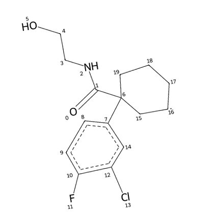 O=C(NCCO)C1(c2ccc(F)c(Cl)c2)C[CH]CCC1